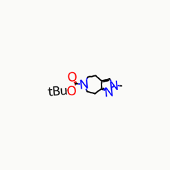 Cn1cc2c(n1)CCN(C(=O)OC(C)(C)C)CC2